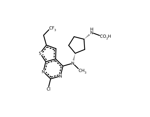 CN(c1nc(Cl)nc2sc(CC(F)(F)F)cc12)[C@@H]1CC[C@H](NC(=O)O)C1